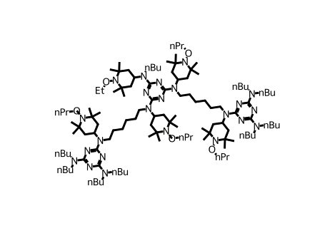 CCCCN(CCCC)c1nc(N(CCCC)CCCC)nc(N(CCCCCCN(c2nc(N(CCCC)C3CC(C)(C)N(OCC)C(C)(C)C3)nc(N(CCCCCCN(c3nc(N(CCCC)CCCC)nc(N(CCCC)CCCC)n3)C3CC(C)(C)N(OCCC)C(C)(C)C3)C3CC(C)(C)N(OCCC)C(C)(C)C3)n2)C2CC(C)(C)N(OCCC)C(C)(C)C2)C2CC(C)(C)N(OCCC)C(C)(C)C2)n1